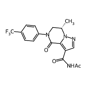 CC(=O)NC(=O)c1cnn2c1C(=O)N(c1ccc(C(F)(F)F)cc1)C[C@@H]2C